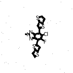 Cn1nc2c(-c3cc4sccc4s3)c(F)c(Cl)c(-c3cc4sccc4s3)c2n1